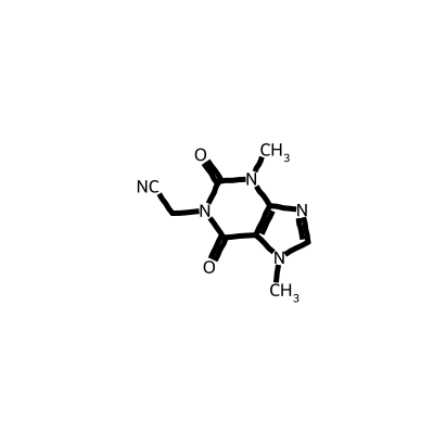 Cn1cnc2c1c(=O)n(CC#N)c(=O)n2C